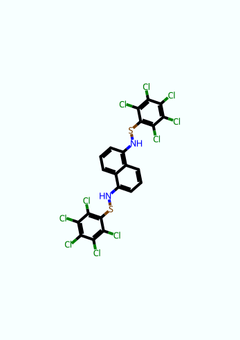 Clc1c(Cl)c(Cl)c(SNc2cccc3c(NSc4c(Cl)c(Cl)c(Cl)c(Cl)c4Cl)cccc23)c(Cl)c1Cl